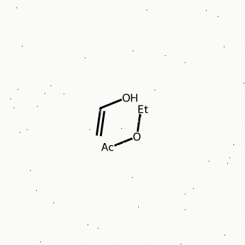 C=CO.CCOC(C)=O